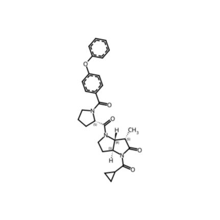 C[C@@H]1C(=O)N(C(=O)C2CC2)[C@H]2CCN(C(=O)[C@@H]3CCCN3C(=O)c3ccc(Oc4ccccc4)cc3)[C@H]12